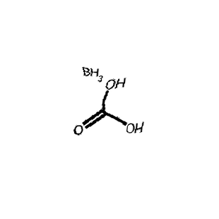 B.O=C(O)O